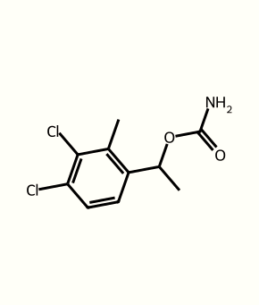 Cc1c(C(C)OC(N)=O)ccc(Cl)c1Cl